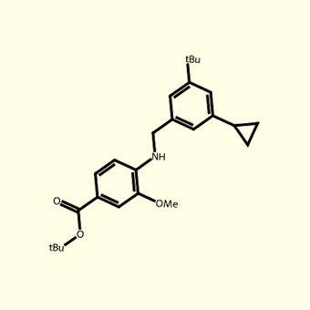 COc1cc(C(=O)OC(C)(C)C)ccc1NCc1cc(C2CC2)cc(C(C)(C)C)c1